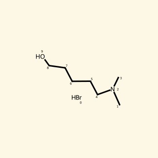 Br.CN(C)CCCCCO